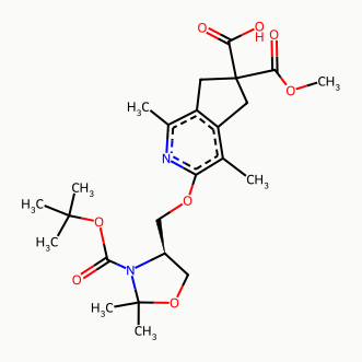 COC(=O)C1(C(=O)O)Cc2c(C)nc(OC[C@H]3COC(C)(C)N3C(=O)OC(C)(C)C)c(C)c2C1